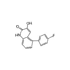 O=c1[nH]c2cccc(-c3ccc(F)cc3)c2cc1O